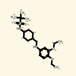 CCOc1ccc(NCC2CCC(NS(=O)(=O)C(C)(C)C)CC2)cc1OCC